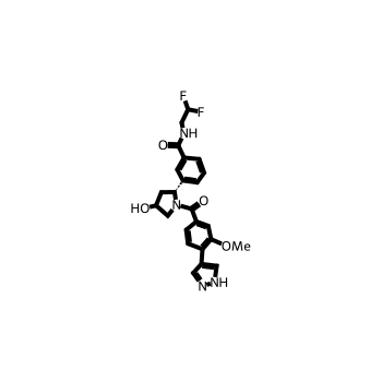 COc1cc(C(=O)N2CC(O)C[C@@H]2c2cccc(C(=O)NCC(F)F)c2)ccc1-c1cn[nH]c1